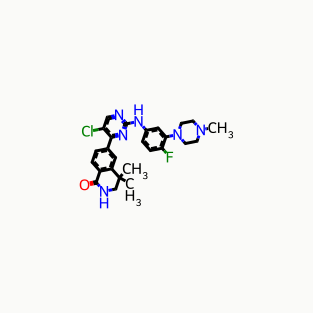 CN1CCN(c2cc(Nc3ncc(Cl)c(-c4ccc5c(c4)C(C)(C)CNC5=O)n3)ccc2F)CC1